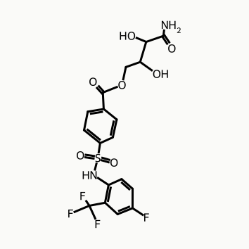 NC(=O)C(O)C(O)COC(=O)c1ccc(S(=O)(=O)Nc2ccc(F)cc2C(F)(F)F)cc1